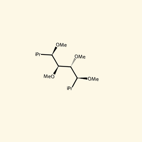 CO[C@H]([C@H](OC)[C@@H](OC)C(C)C)[C@H](OC)C(C)C